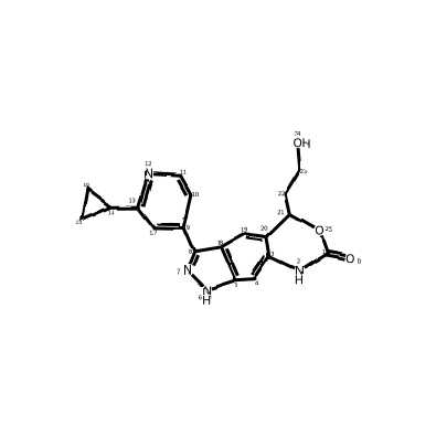 O=C1Nc2cc3[nH]nc(-c4ccnc(C5CC5)c4)c3cc2C(CCO)O1